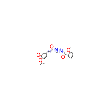 COc1cc(/C=C/C(=O)N2CCN(CC(=O)c3ccccc3OC)CC2)ccc1OC(C)C